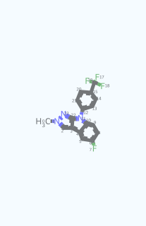 Cn1cc2c3cc(F)ccc3n(-c3ccc(C(F)(F)F)cc3)c2n1